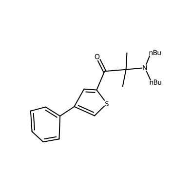 CCCCN(CCCC)C(C)(C)C(=O)c1cc(-c2ccccc2)cs1